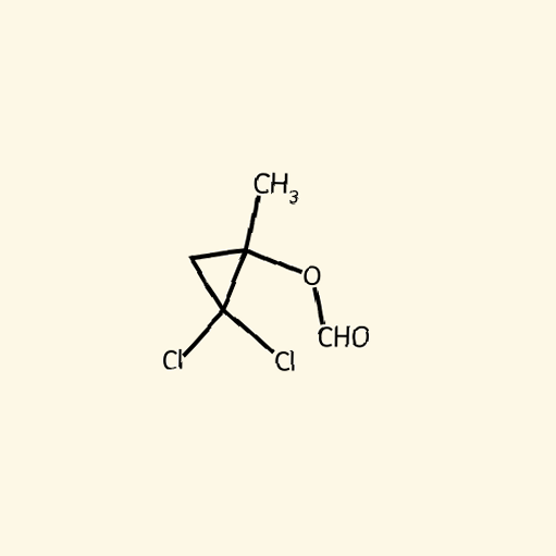 CC1(OC=O)CC1(Cl)Cl